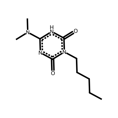 CCCCCn1c(=O)nc(N(C)C)[nH]c1=O